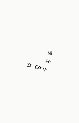 [Co].[Fe].[Ni].[V].[Zr]